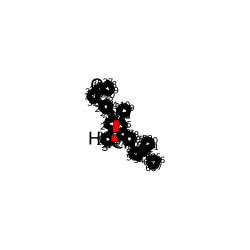 CC1(C)c2ccc(-c3ccccc3N(c3ccc(-c4ccccc4)cc3)c3ccc(-c4cccc5oc6ccccc6c45)cc3)cc2-c2ccc(-c3cccc4c3c3ccccc3n4-c3ccccc3)cc21